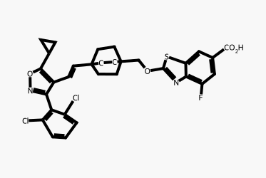 O=C(O)c1cc(F)c2nc(OCC34CCC(C=Cc5c(-c6c(Cl)cccc6Cl)noc5C5CC5)(CC3)CC4)sc2c1